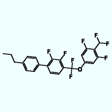 CCCc1ccc(-c2ccc(C(F)(F)Oc3cc(F)c(C(F)F)c(F)c3)c(F)c2F)cc1